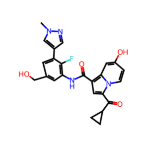 Cn1cc(-c2cc(CO)cc(NC(=O)c3cc(C(=O)C4CC4)n4ccc(O)cc34)c2F)cn1